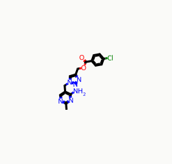 Cc1ncc(Cn2cc(COC(=O)c3ccc(Cl)cc3)nn2)c(N)n1